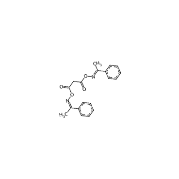 CC(=NOC(=O)CC(=O)ON=C(C)c1ccccc1)c1ccccc1